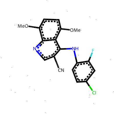 COc1ccc(OC)c2c(Nc3ccc(Cl)cc3F)c(C#N)cnc12